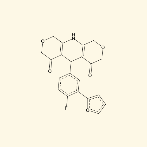 O=C1COCC2=C1C(c1ccc(F)c(-c3ccco3)c1)C1=C(COCC1=O)N2